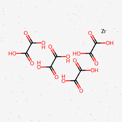 O=C(O)C(=O)O.O=C(O)C(=O)O.O=C(O)C(=O)O.O=C(O)C(=O)O.[Zr]